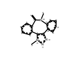 C=C1c2ccccc2-c2c(nnn2C)-c2ccccc2N1C